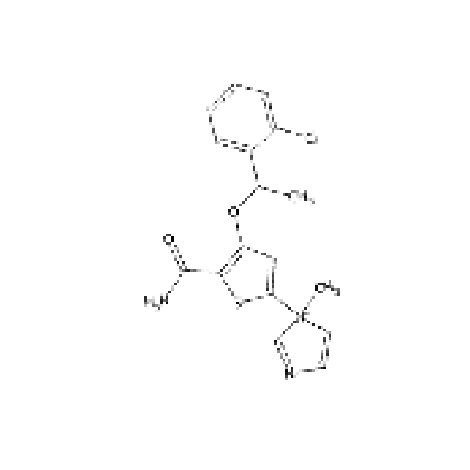 CC(Oc1cc([N+]2(C)C=CN=C2)sc1C(N)=O)c1ccccc1Cl